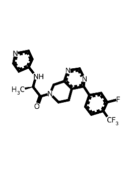 C[C@@H](Nc1ccncc1)C(=O)N1CCc2c(ncnc2-c2ccc(C(F)(F)F)c(F)c2)C1